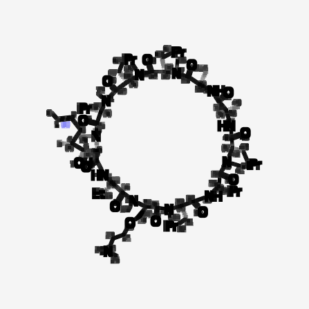 C/C=C/C[C@@H](C)[C@@H](O)[C@H]1C(=O)N[C@@H](CC)C(=O)N(C)[C@H](COCCN(C)C)C(=O)N(C)[C@@H](CC(C)C)C(=O)N[C@@H](C(C)C)C(=O)N(C)[C@@H](CC(C)C)C(=O)N[C@@H](C)C(=O)N[C@@H](C)C(=O)N(C)[C@@H](CC(C)C)C(=O)N(C)[C@@H](CC(C)C)C(=O)N(C)[C@@H](C(C)C)C(=O)N1C